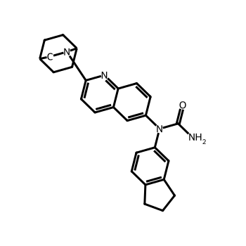 NC(=O)N(c1ccc2c(c1)CCC2)c1ccc2nc(N3CC4CCC3CC4)ccc2c1